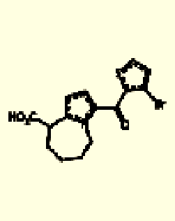 O=C(c1sccc1Br)c1ccc2n1CCCCC2C(=O)O